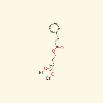 CCO[SiH](CCCOC(=O)/C=C/c1ccccc1)OCC